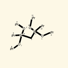 CC(C)O[Si](C[Si](OC(C)C)(OC(C)C)C(C)C)(OC(C)C)C(C)C